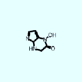 O=C1CNC2N=CC=C2N1O